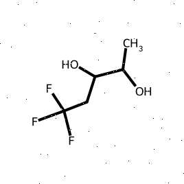 CC(O)C(O)CC(F)(F)F